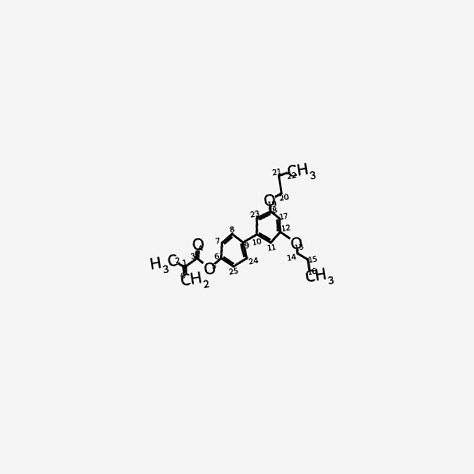 C=C(C)C(=O)Oc1ccc(-c2cc(OCCC)cc(OCCC)c2)cc1